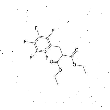 CCOC(=O)C(Cc1c(F)c(F)c(F)c(F)c1F)C(=O)OCC